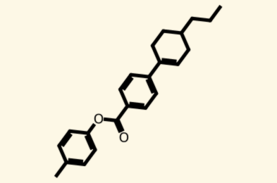 CCCC1CC=C(c2ccc(C(=O)Oc3ccc(C)cc3)cc2)CC1